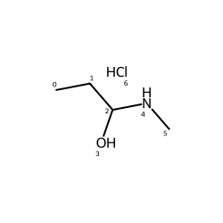 CCC(O)NC.Cl